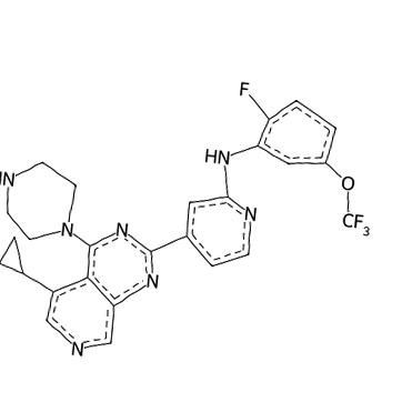 Fc1ccc(OC(F)(F)F)cc1Nc1cc(-c2nc(N3CCNCC3)c3c(C4CC4)cncc3n2)ccn1